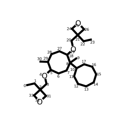 CCC1(COC2CCC(C)(C3CCCCCCC3)C(OCC3(CC)COC3)CCC2C)COC1